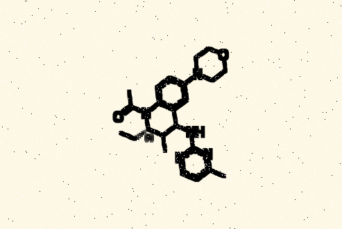 CC[C@H]1C(C)C(Nc2nccc(C)n2)c2cc(N3CCOCC3)ccc2N1C(C)=O